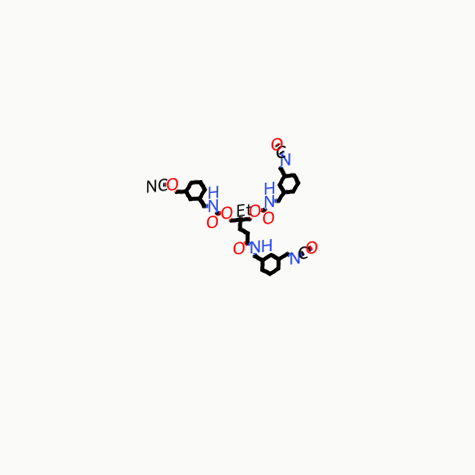 CCC(CCC(=O)NCC1CCCC(CN=C=O)C1)(COC(=O)NCC1CCCC(CN=C=O)C1)COC(=O)NCC1CCCC(COC#N)C1